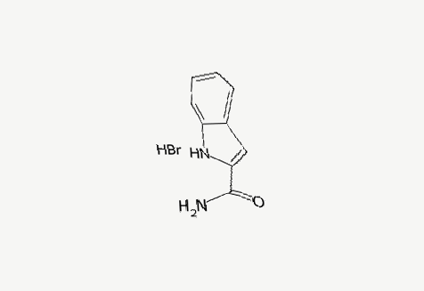 Br.NC(=O)c1cc2ccccc2[nH]1